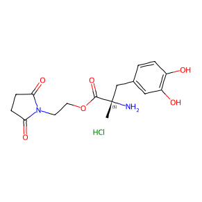 C[C@](N)(Cc1ccc(O)c(O)c1)C(=O)OCCN1C(=O)CCC1=O.Cl